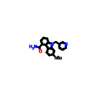 CCCCc1c[c]c2c3c(C(N)=O)cccc3n(Cc3cccnc3)c2c1